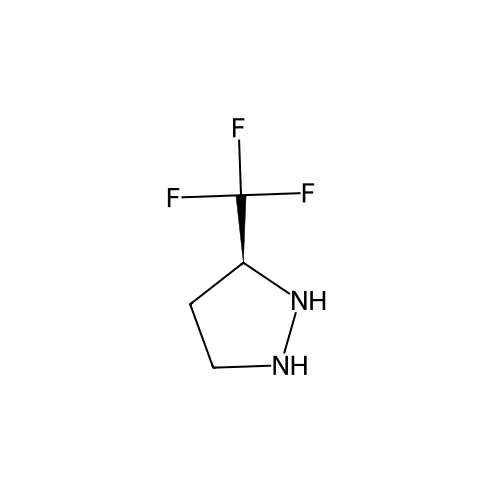 FC(F)(F)[C@@H]1CCNN1